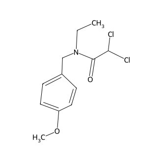 CCN(Cc1ccc(OC)cc1)C(=O)C(Cl)Cl